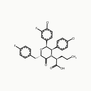 CCC[C@@H](C(=O)O)N1C(=O)[C@H](Cc2ccc(F)cc2)O[C@@H](c2ccc(Cl)c(F)c2)[C@H]1c1ccc(Cl)cc1